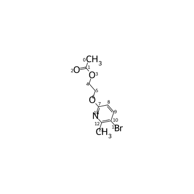 CC(=O)OCCOc1ccc(Br)c(C)n1